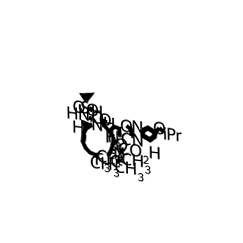 CC[C@@H]1C[C@H](C)CCC=C[C@@H]2C[C@@]2(C(=O)NS(=O)(=O)C2CC2)NC(=O)[C@@H]2C[C@@H](Oc3nc4cc(OC(C)C)ccc4nc3C(F)(F)F)CN2C(=O)[C@H]1N(C(=O)O)C(C)(C)C(F)(F)F